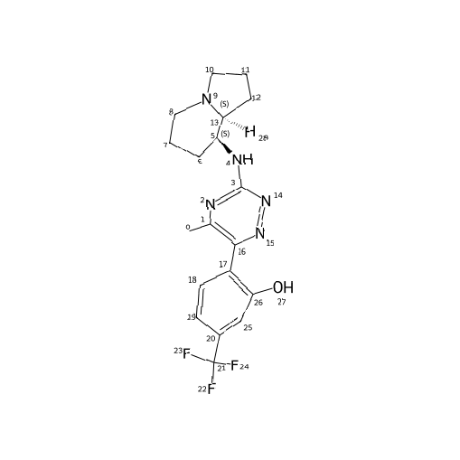 Cc1nc(N[C@H]2CCCN3CCC[C@@H]23)nnc1-c1ccc(C(F)(F)F)cc1O